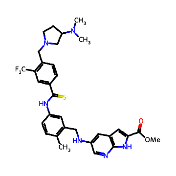 COC(=O)c1cc2cc(NCc3cc(NC(=S)c4ccc(CN5CCC(N(C)C)C5)c(C(F)(F)F)c4)ccc3C)cnc2[nH]1